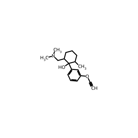 C#COc1cccc(C2(O)C(C)CCCC2CN(C)C)c1